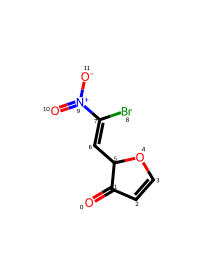 O=C1C=COC1C=C(Br)[N+](=O)[O-]